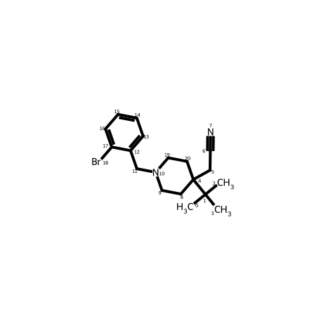 CC(C)(C)C1(CC#N)CCN(Cc2ccccc2Br)CC1